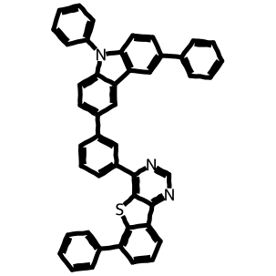 c1ccc(-c2ccc3c(c2)c2cc(-c4cccc(-c5ncnc6c5sc5c(-c7ccccc7)cccc56)c4)ccc2n3-c2ccccc2)cc1